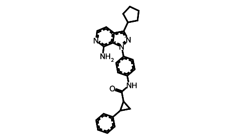 Nc1nccc2c(C3CCCC3)nn(-c3ccc(NC(=O)C4CC4c4ccccc4)cc3)c12